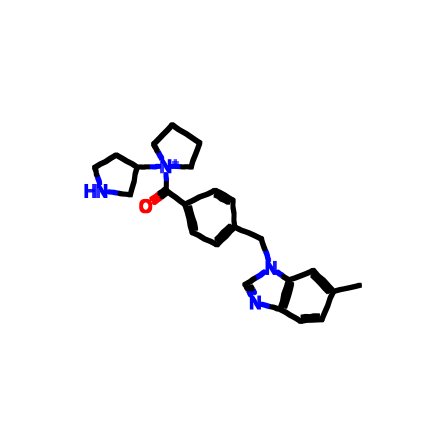 Cc1ccc2ncn(Cc3ccc(C(=O)[N+]4(C5CCNC5)CCCC4)cc3)c2c1